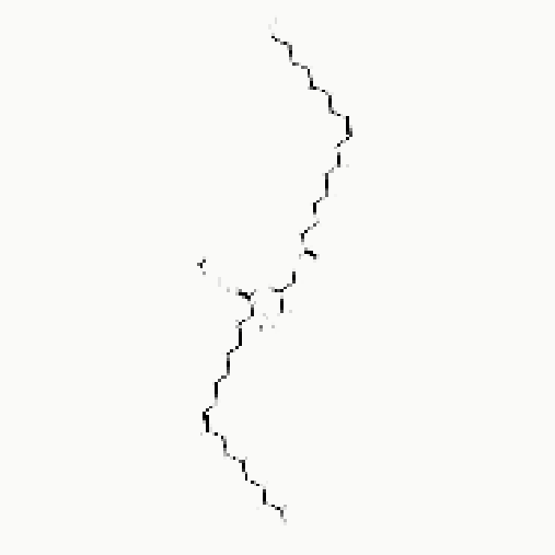 CCC.CCCCCCCC/C=C\CCCCCCCC(=O)OCC(C[N+](C)(C)C)OC(=O)CCCCCCC/C=C\CCCCCCCC